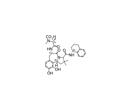 C[C@@H](C(=O)N[C@H]1Cc2ccc(O)c(O)c2[C@H]2CC(C)(C)C(C(=O)N[C@@H]3CCCc4ccccc43)N2C1=O)N(C)C(=O)O